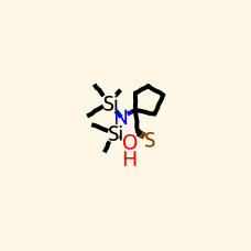 C[Si](C)(C)N(C1(C(O)=S)CCCC1)[Si](C)(C)C